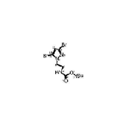 CC(C)(C)OC(=O)NCCn1nc(Br)cc1Br